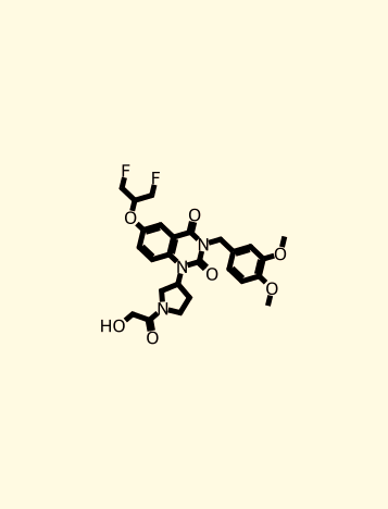 COc1ccc(Cn2c(=O)c3cc(OC(CF)CF)ccc3n(C3CCN(C(=O)CO)C3)c2=O)cc1OC